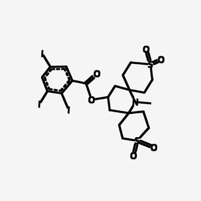 CN1C2(CCS(=O)(=O)CC2)CC(OC(=O)c2cc(I)cc(I)c2I)CC12CCS(=O)(=O)CC2